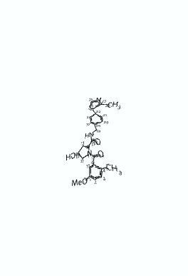 COc1ccc(C)c(C(=O)N2C[C@H](O)C[C@H]2C(=O)NCc2ccc(-c3scnc3C)cc2)c1